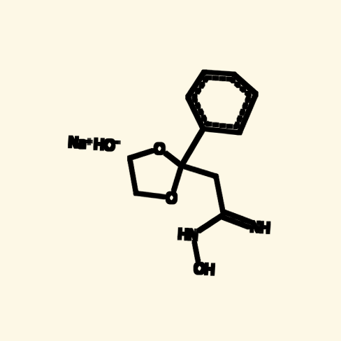 N=C(CC1(c2ccccc2)OCCO1)NO.[Na+].[OH-]